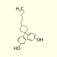 CCCCCC1CCC(c2ccc(O)cc2)(c2ccc(O)cc2)CC1